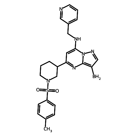 Bc1cnn2c(NCc3cccnc3)cc(C3CCCN(S(=O)(=O)c4ccc(C)cc4)C3)nc12